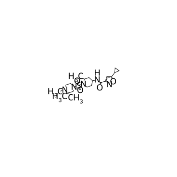 C[C@H]1C[C@@H](NC(=O)c2cc(C3CC3)on2)CCN1S(=O)(=O)N1CCN(C)C(C)(C)C1